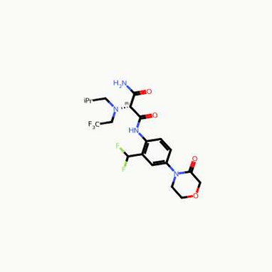 CC(C)CN(CC(F)(F)F)[C@H](C(N)=O)C(=O)Nc1ccc(N2CCOCC2=O)cc1C(F)F